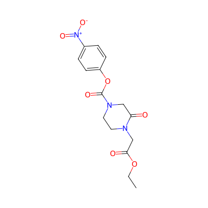 CCOC(=O)CN1CCN(C(=O)Oc2ccc([N+](=O)[O-])cc2)CC1=O